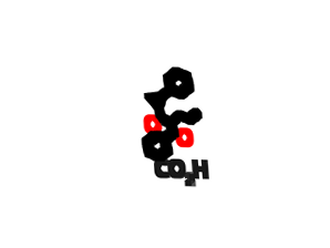 C=CCc1c(C2CC2c2ccccc2)oc2ccc(C(=O)O)cc2c1=O